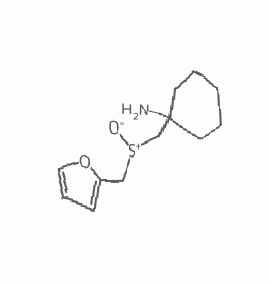 NC1(C[S+]([O-])Cc2ccco2)CCCCC1